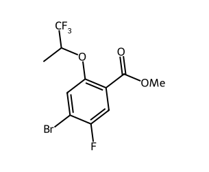 COC(=O)c1cc(F)c(Br)cc1OC(C)C(F)(F)F